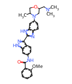 COc1ccccc1C(=O)Nc1ccc2c(-c3nc4ccc(N5CC(CN(C)C)OCC5C)cc4[nH]3)n[nH]c2c1